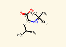 CC(C)C[C@@H](NC(C)(C)C)C(=O)O